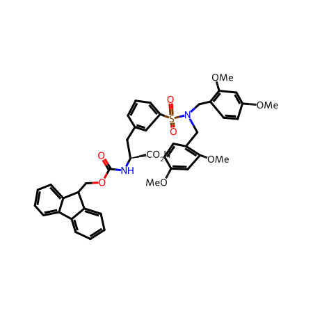 COc1ccc(CN(Cc2ccc(OC)cc2OC)S(=O)(=O)c2cccc(C[C@H](NC(=O)OCC3c4ccccc4-c4ccccc43)C(=O)O)c2)c(OC)c1